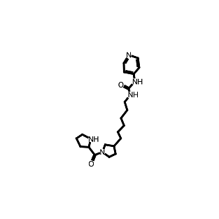 O=C(NCCCCCCC1CCN(C(=O)C2CCCN2)C1)Nc1ccncc1